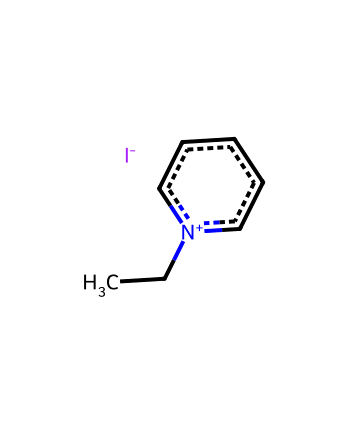 CC[n+]1ccccc1.[I-]